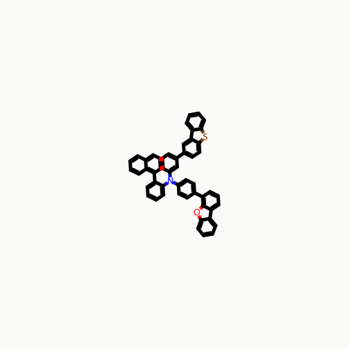 c1cc2ccccc2c(-c2ccccc2N(C2=CC(c3ccc4sc5ccccc5c4c3)=CCC2)c2ccc(-c3cccc4c3oc3ccccc34)cc2)c#1